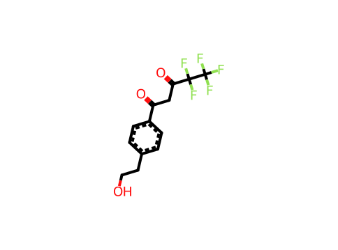 O=C(CC(=O)C(F)(F)C(F)(F)F)c1ccc(CCO)cc1